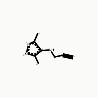 C#CCNc1c(C)noc1C